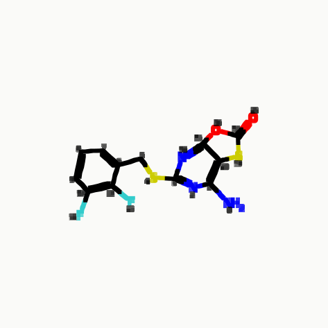 Nc1nc(SCc2cccc(F)c2F)nc2oc(=O)sc12